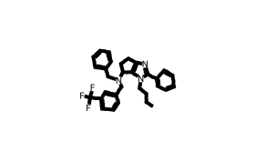 CCCCn1c(-c2ccccc2)nc2c1C(N(Cc1ccccc1)Cc1cccc(C(F)(F)F)c1)CC2